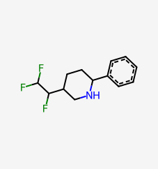 FC(F)C(F)C1CCC(c2ccccc2)NC1